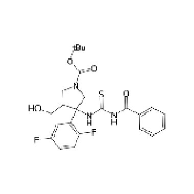 CC(C)(C)OC(=O)N1CC(CO)C(NC(=S)NC(=O)c2ccccc2)(c2cc(F)ccc2F)C1